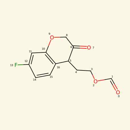 O=COCCC1C(=O)COc2cc(F)ccc21